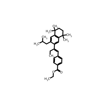 CCOC(=O)c1ccc(/C=C(\CC)c2cc3c(cc2CC(C)C)C(C)(C)CCC3(C)C)cc1